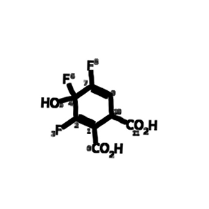 O=C(O)C1=C(F)C(O)(F)C(F)=CC1C(=O)O